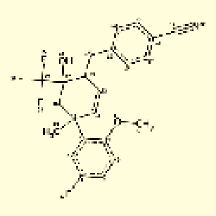 COc1ccc(F)cc1C1(C)C=CC(Cc2ccc(C#N)cc2)C(O)(C(F)(F)F)C1